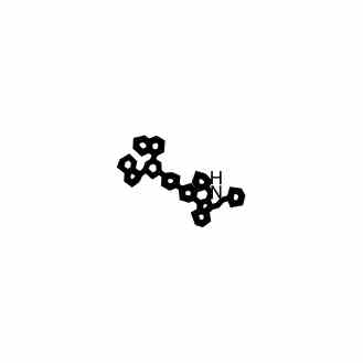 C1=Cc2cccc(C3CC(c4ccc(-c5ccc(C6=c7ccccc7=C7CC(c8ccccc8)NC(c8ccccc8)C76)cc5)cc4)CC(c4cccc5ccccc45)C3)c2CC1